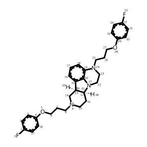 Fc1ccc(OCCCN2CC[C@H]3[C@@H](C2)c2cccc4c2N3CCN4CCCOc2ccc(F)cc2)cc1